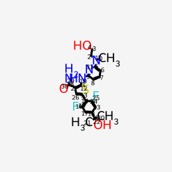 CN(CCO)c1cccc(Nc2sc(-c3c(F)cc(C(C)(C)O)cc3F)cc2C(N)=O)n1